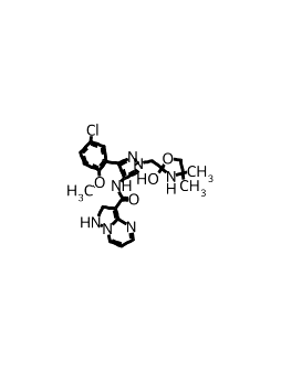 COc1ccc(Cl)cc1-c1nn(CC2(O)NC(C)(C)CO2)cc1NC(=O)C1=C2N=CC=CN2NC1